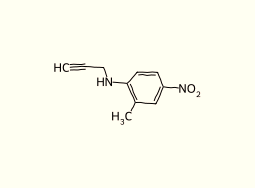 C#CCNc1ccc([N+](=O)[O-])cc1C